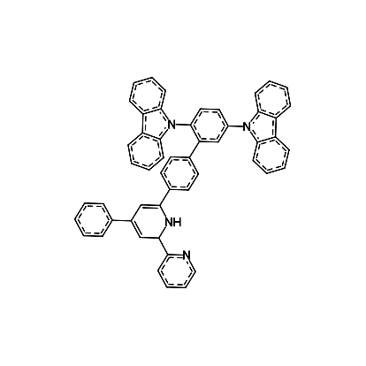 C1=C(c2ccccc2)C=C(c2ccc(-c3cc(-n4c5ccccc5c5ccccc54)ccc3-n3c4ccccc4c4ccccc43)cc2)NC1c1ccccn1